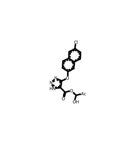 CC(=O)C(O)OC(=O)c1[nH]nnc1Oc1ccc2cc(Cl)ccc2c1